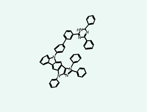 c1ccc(C2=NC(c3ccccc3)NC(c3cccc(-c4ccc(-n5c6ccccc6c6cc7c(cc65)c5c(nc(-c6ccccc6)n5-c5ccccc5)n7-c5ccccc5)cc4)c3)=N2)cc1